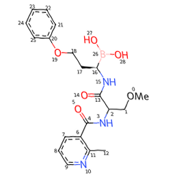 COCC(NC(=O)c1cccnc1C)C(=O)N[C@@H](CCOc1ccccc1)B(O)O